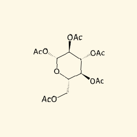 CC(=O)OC[C@@H]1O[C@H](OC(C)=O)[C@@H](OC(C)=O)[C@H](OC(C)=O)[C@H]1OC(C)=O